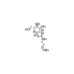 CCCCOCCNC1=N[C@@H]2[C@@H](O)[C@H](O)[C@@H](CO)O[C@@H]2S1